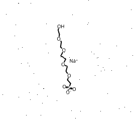 O=S(=O)([O-])CCOCCOCCOCCOCCO.[Na+]